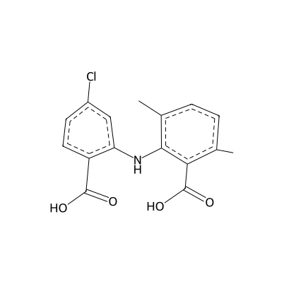 Cc1ccc(C)c(C(=O)O)c1Nc1cc(Cl)ccc1C(=O)O